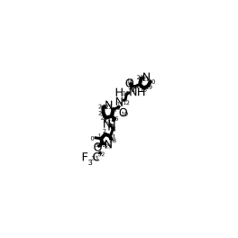 Cc1cc(Cn2cc3c(C(=O)NCCNC(=O)c4cccnc4)nccc3n2)cnc1OCC(F)(F)F